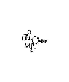 CC(=O)Nc1ccc(Br)cc1[N+](=O)[O-]